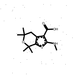 CNc1sc2c(c1C(=O)O)CC(C)(C)OC2(C)C